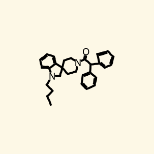 CCCCN1CC2(CCN(C(=O)C(c3ccccc3)c3ccccc3)CC2)c2ccccc21